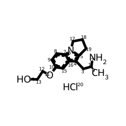 C[C@H](N)Cc1c2n(c3ccc(OCCO)cc13)CCC2.Cl